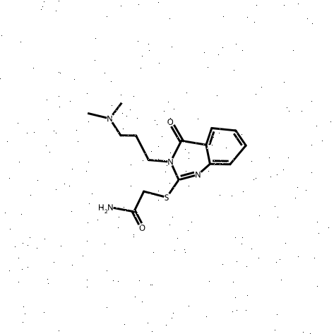 CN(C)CCCn1c(SCC(N)=O)nc2ccccc2c1=O